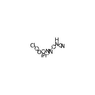 CC(C)Cc1nc(-c2ccc(Nc3ccncc3)cc2)cn1-c1ccc(Oc2ccc(Cl)cc2)cc1